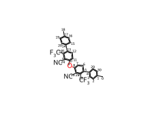 Cc1ccc(-c2ccc(Oc3ccc(-c4ccc(C)cc4)c(C(F)(F)F)c3C#N)c(C#N)c2C(F)(F)F)cc1